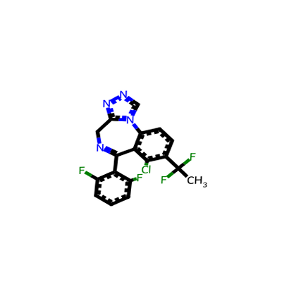 CC(F)(F)c1ccc2c(c1Cl)C(c1c(F)cccc1F)=NCc1nncn1-2